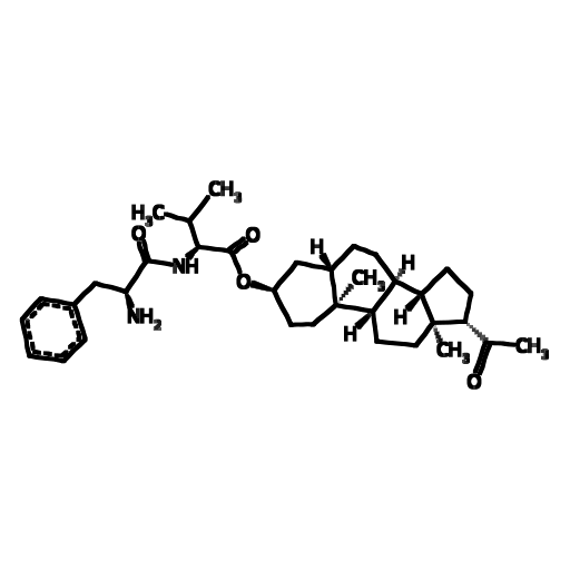 CC(=O)[C@H]1CC[C@H]2[C@@H]3CC[C@H]4C[C@H](OC(=O)[C@@H](NC(=O)[C@@H](N)Cc5ccccc5)C(C)C)CC[C@]4(C)[C@H]3CC[C@]12C